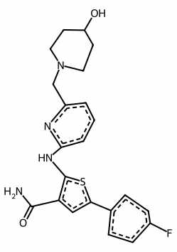 NC(=O)c1cc(-c2ccc(F)cc2)sc1Nc1cccc(CN2CCC(O)CC2)n1